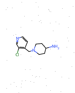 NC1CCN(Cc2ccncc2Cl)CC1